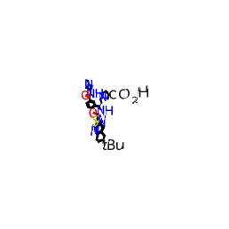 CN1CC(NC(=O)c2cccc([C@@H](CCN3CC[C@@H](C(=O)O)C3)NC(=O)c3nc4cc5c(nc4s3)CC[C@H](C(C)(C)C)C5)c2)C1